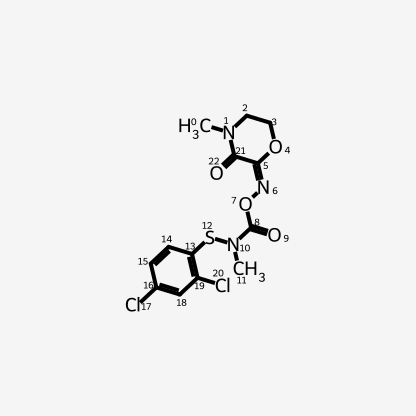 CN1CCOC(=NOC(=O)N(C)Sc2ccc(Cl)cc2Cl)C1=O